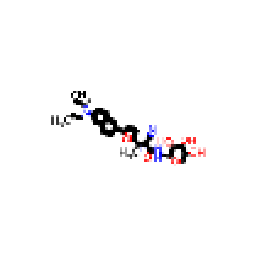 CCCN(CCC)c1ccc2cc(-c3ccc(/C(C)=C(\C#N)C(=O)NC[C@H]4OC[C@H](O)[C@@H](O)[C@@H]4O)o3)ccc2c1